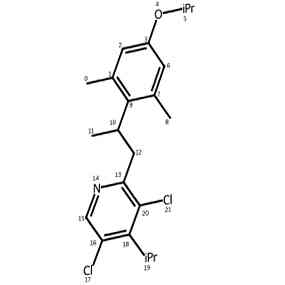 Cc1cc(OC(C)C)cc(C)c1C(C)Cc1ncc(Cl)c(C(C)C)c1Cl